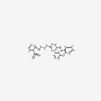 O=[N+]([O-])c1ccccc1OCCCN1CCC(OC(c2ccccc2)c2ccccc2Cl)CC1